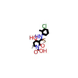 Cc1c(Cl)cccc1NC(=S)C1=C(O)C[C@@H](C)N(C(=O)O)C1=O